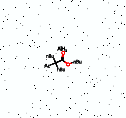 CCCCOC(=O)C(CCCC)(CCCC)C(C)=O.[AlH3]